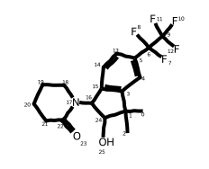 CC1(C)c2cc(C(F)(F)C(F)(F)F)ccc2C(N2CCCCC2=O)C1O